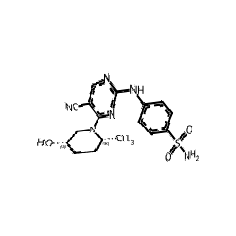 C[C@@H]1CC[C@H](O)CN1c1nc(Nc2ccc(S(N)(=O)=O)cc2)ncc1C#N